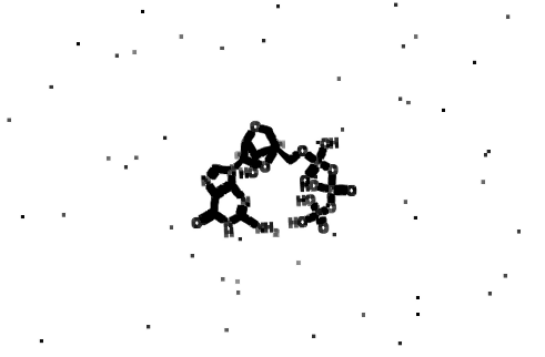 Nc1nc2c(ncn2[C@@H]2O[C@@]3(COP(=O)(O)OP(=O)(O)OP(=O)(O)O)COC2C3O)c(=O)[nH]1